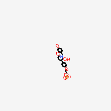 COc1ccc(CN2C(=O)CCC(c3ccc(OCCOS(C)(=O)=O)cc3)C2O)cc1